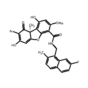 COc1cc(O)c2c(c1C(=O)NCc1c(C)ccc3ccc(F)cc13)OC1=CC(O)=C(C(C)=O)C(=O)[C@]12C